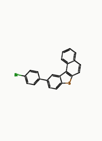 Brc1ccc(-c2ccc3sc4ccc5ccccc5c4c3c2)cc1